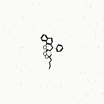 CCCCC(=O)C[C@@H]1C(=O)Oc2c(ccc3ccccc23)[C@@H]1c1ccccc1